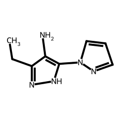 CCc1n[nH]c(-n2cccn2)c1N